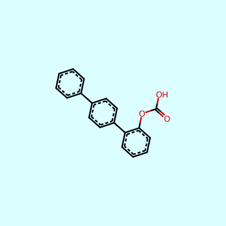 O=C(O)Oc1ccccc1-c1ccc(-c2ccccc2)cc1